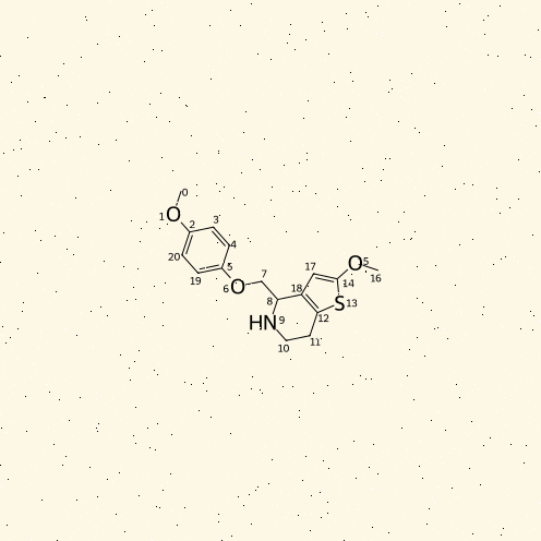 COc1ccc(OCC2NCCc3sc(OC)cc32)cc1